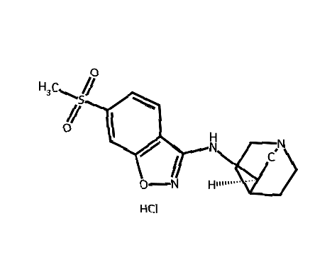 CS(=O)(=O)c1ccc2c(N[C@H]3CN4CCC3CC4)noc2c1.Cl